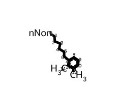 CCCCCCCCCCCCCCCc1cccc(C)c1C